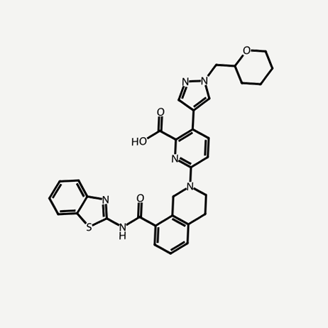 O=C(Nc1nc2ccccc2s1)c1cccc2c1CN(c1ccc(-c3cnn(CC4CCCCO4)c3)c(C(=O)O)n1)CC2